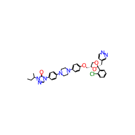 CCC(C)n1ncn(-c2ccc(N3CCN(c4ccc(OC[C@@H]5CO[C@@](Cc6ccnnc6)(c6ccccc6Cl)O5)cc4)CC3)cc2)c1=O